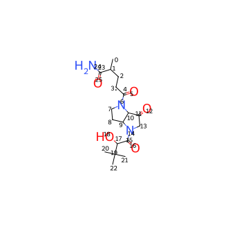 CC(C[CH]C(=O)N1CCC2C1C(=O)CN2C(=O)C(O)C(C)(C)C)C(N)=O